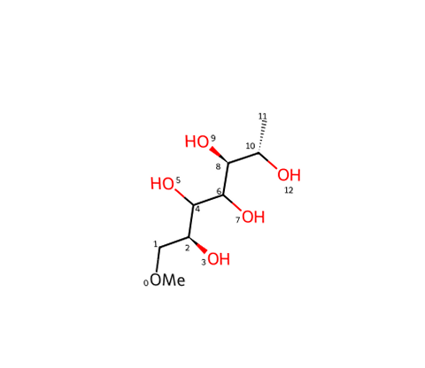 COC[C@H](O)C(O)C(O)[C@@H](O)[C@H](C)O